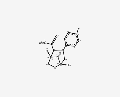 COC(=O)C1C(c2ccc(C)cc2)C[C@@H]2CC[C@H]1N2C